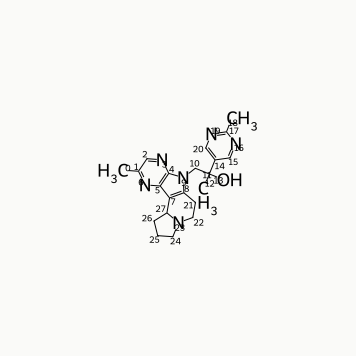 Cc1cnc2c(n1)c1c(n2CC(C)(O)c2cnc(C)nc2)CCN2CCCC12